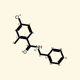 Cc1cc(Cl)ccc1C(=O)NCc1ccccc1